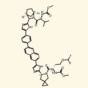 COC(=O)N[C@@H](CCOC(F)F)C(=O)N1CC2(CC2)C[C@H]1c1ncc(-c2ccc3cc(-c4ccc(-c5cnc(C6[C@H]7CC[C@H](C7)N6C(=O)[C@@H](NC(=O)OC)C(C)C)[nH]5)cc4)ccc3c2)[nH]1